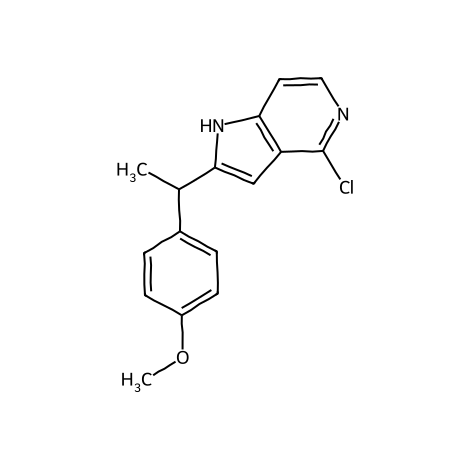 COc1ccc(C(C)c2cc3c(Cl)nccc3[nH]2)cc1